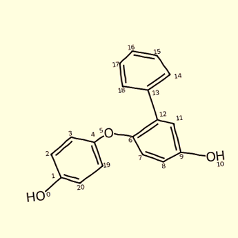 Oc1ccc(Oc2ccc(O)cc2-c2ccccc2)cc1